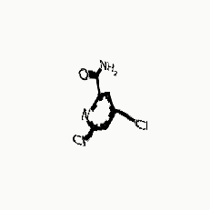 NC(=O)c1cc(Cl)cc(Cl)n1